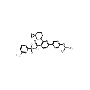 Cc1cccc(S(=O)(=O)NC(=O)c2ccc(-c3ccc(OC(C)C)nc3)nc2N2CCCC3(CC3)C2)n1